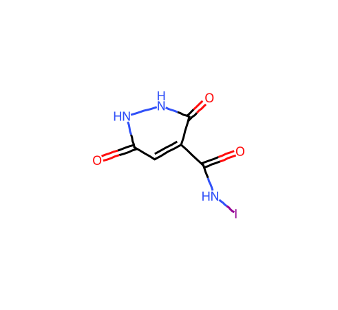 O=C(NI)c1cc(=O)[nH][nH]c1=O